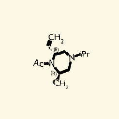 C=C[C@@H]1CN(C(C)C)C[C@@H](C)N1C(C)=O